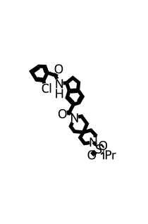 CC(C)S(=O)(=O)N1CCC2(CCN(C(=O)c3ccc4c(c3)C(NC(=O)c3ccccc3Cl)CC4)CC2)CC1